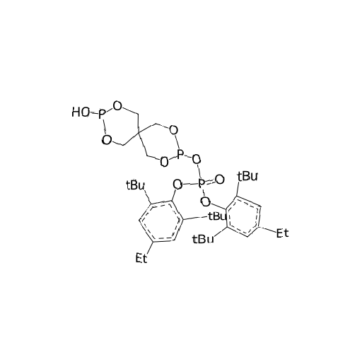 CCc1cc(C(C)(C)C)c(OP(=O)(Oc2c(C(C)(C)C)cc(CC)cc2C(C)(C)C)OP2OCC3(COP(O)OC3)CO2)c(C(C)(C)C)c1